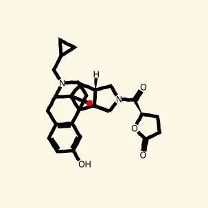 O=C1CC[C@H](C(=O)N2C[C@H]3CC45CCC2C3C42CCN(CC3CC3)C5Cc3ccc(O)cc32)O1